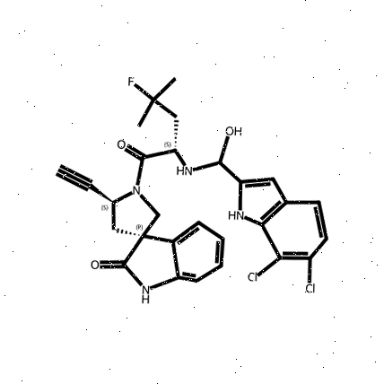 C#C[C@@H]1C[C@@]2(CN1C(=O)[C@H](CC(C)(C)F)NC(O)c1cc3ccc(Cl)c(Cl)c3[nH]1)C(=O)Nc1ccccc12